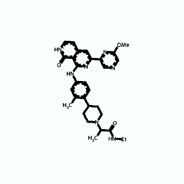 CCNC(=O)C(C)N1CCC(c2ccc(Nc3nc(-c4cncc(OC)n4)cc4cc[nH]c(=O)c34)cc2C)CC1